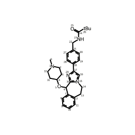 CN1CCC(OC2c3ccccc3CCn3cc(-c4ccc(CNC(=O)C(C)(C)C)cc4)nc32)CC1